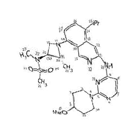 COC1CCN(c2nccc(Nc3cc4c(C(C)C)ccc(N5C[C@H](N(C)S(C)(=O)=O)[C@H]5C)c4cn3)n2)CC1